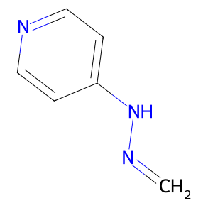 C=NNc1ccncc1